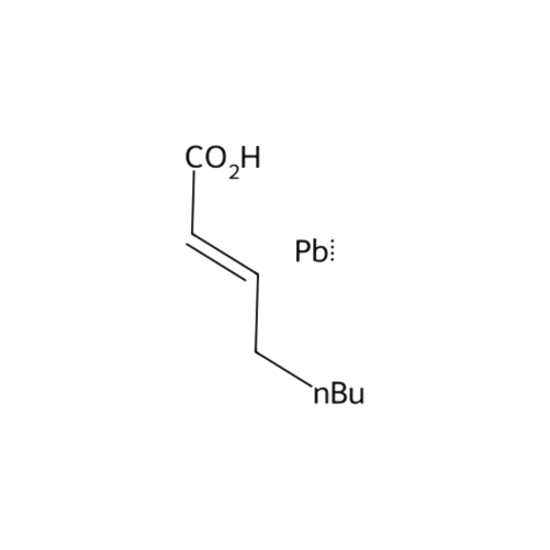 CCCCCC=CC(=O)O.[Pb]